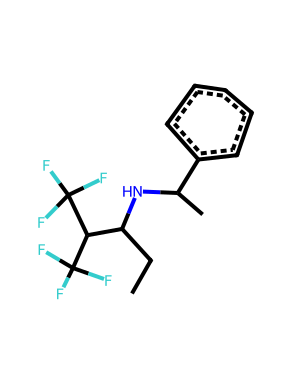 CCC(NC(C)c1ccccc1)C(C(F)(F)F)C(F)(F)F